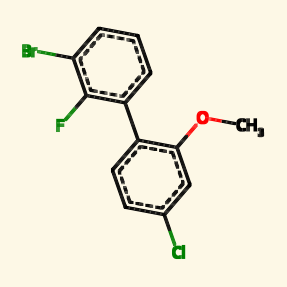 COc1cc(Cl)ccc1-c1cccc(Br)c1F